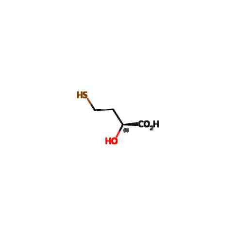 O=C(O)[C@@H](O)CCS